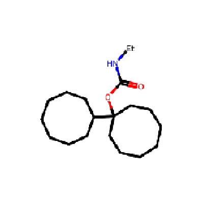 CCNC(=O)OC1(C2CCCCCCC2)CCCCCCC1